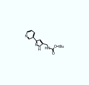 CC(C)(C)OC(=O)NCc1cc(-c2cccnc2)n[nH]1